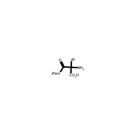 CCCC(C)C(=O)C(N)(C(=O)O)C(C)C